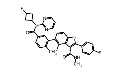 CNC(=O)c1c(-c2ccc(F)cc2)oc2ccc(-c3cc(C(=O)N(c4ncccn4)C4CC(F)C4)ccc3C)c(F)c12